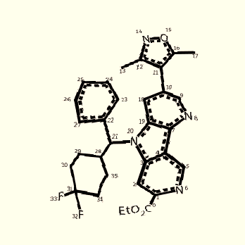 CCOC(=O)c1cc2c(cn1)c1ncc(-c3c(C)noc3C)cc1n2C(c1ccccc1)C1CCC(F)(F)CC1